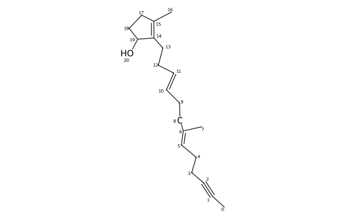 CC#CCC/C=C(\C)CC/C=C/CCC1=C(C)CCC1O